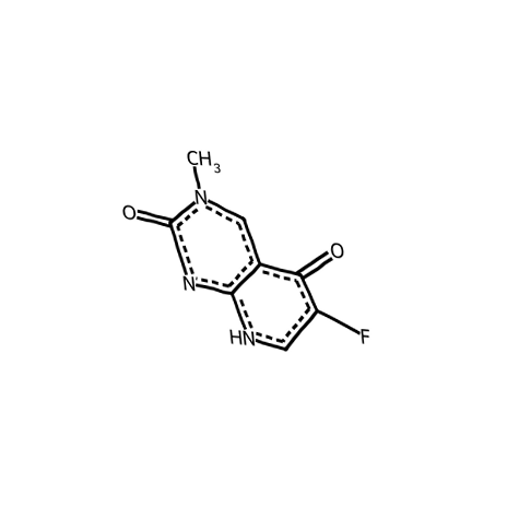 Cn1cc2c(=O)c(F)c[nH]c2nc1=O